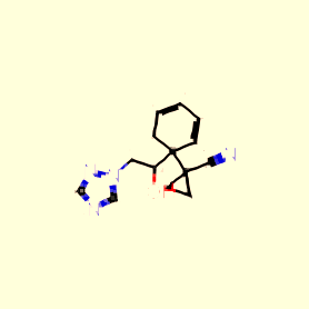 N#CC1(C2(C(O)Cn3cncn3)C=CC=CC2)CC1